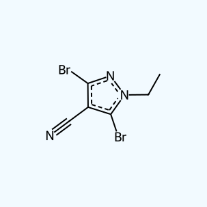 CCn1nc(Br)c(C#N)c1Br